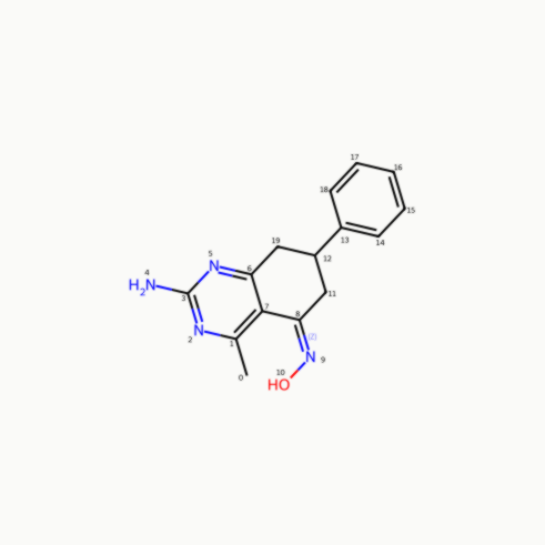 Cc1nc(N)nc2c1/C(=N\O)CC(c1ccccc1)C2